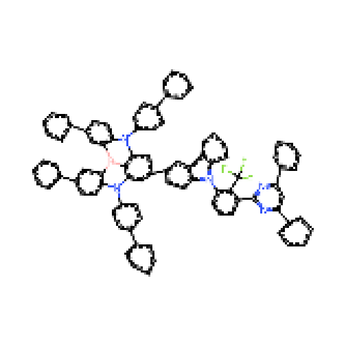 FC(F)(F)c1c(-c2nc(-c3ccccc3)cc(-c3ccccc3)n2)cccc1-n1c2ccccc2c2cc(-c3cc4c5c(c3)N(c3ccc(-c6ccccc6)cc3)c3ccc(-c6ccccc6)cc3B5c3cc(-c5ccccc5)ccc3N4c3ccc(-c4ccccc4)cc3)ccc21